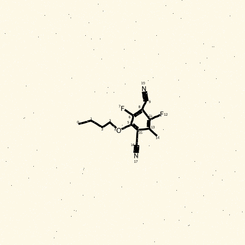 CCCCOc1c(F)c(C#N)c(F)c(C)c1C#N